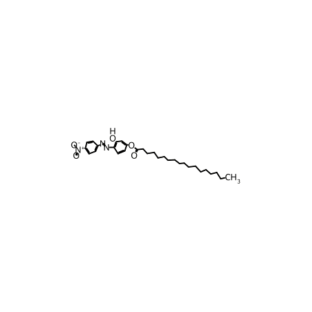 CCCCCCCCCCCCCCCCCC(=O)Oc1ccc(/N=N/c2ccc([N+](=O)[O-])cc2)c(O)c1